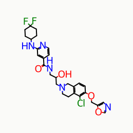 O=C(NCC(O)CN1CCc2c(ccc(OCc3cnco3)c2Cl)C1)c1ccnc(NC2CCC(F)(F)CC2)c1